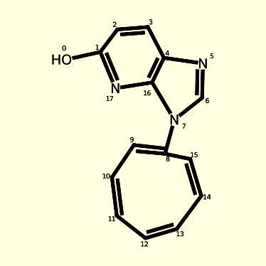 Oc1ccc2ncn(C3=CC=CC=CC=C3)c2n1